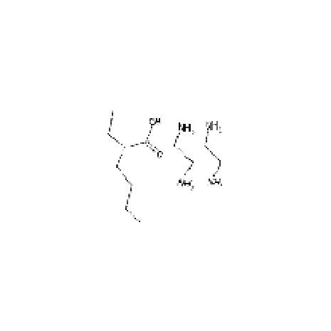 CCCCC(CC)C(=O)O.NCCN.NCCN